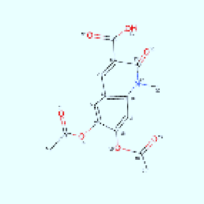 CC(=O)Oc1cc2cc(C(=O)O)c(=O)n(C)c2cc1OC(C)=O